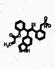 C=CC(=O)Oc1ccccc1/C(=C(\CC)c1ccccc1C[SH](=O)=O)c1ccc2[nH]ncc2c1